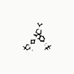 CC1(C)C[C@@H](CO)N(C2CC(N3C(=O)C4(CCN(C5COC5)CC4)c4ccc(B5OC(C)(C)C(C)(C)O5)cc43)C2)C1